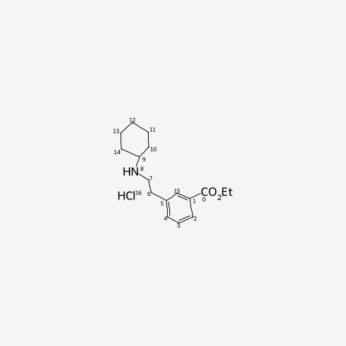 CCOC(=O)c1cccc(CCNC2CCCCC2)c1.Cl